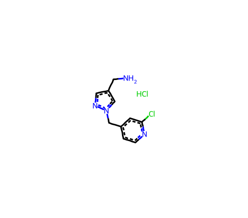 Cl.NCc1cnn(Cc2ccnc(Cl)c2)c1